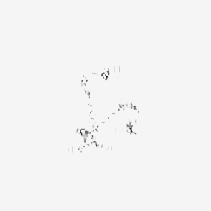 CCc1nn2c(C)cc(C)nc2c1Cc1ccc(/C=C/CN2CCN(CC34CC(C(=O)NCCOCCOCCOCCOCCN(CCOCCOCCOCCOCCNC(=O)C56CC(CN7CCN(C/C=C/c8ccc(Cc9c(CC)nn%10c(C)cc(C)nc9%10)cc8)CC7)(C5)C6)C(=O)CN5CCN(CC(=O)OC(C)(C)C)CCN(CC(=O)OC(C)(C)C)CCN(CC(=O)OC(C)(C)C)CC5)(C3)C4)CC2)cc1